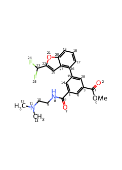 COC(=O)c1cc(C(=O)NCCN(C)C)cc(-c2cccc3oc(C(F)F)cc23)c1